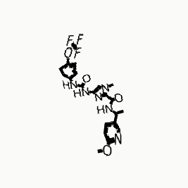 COc1ccc(C(C)NC(=O)c2nc(NC(=O)Nc3ccc(OC(F)(F)F)cc3)cn2C)cn1